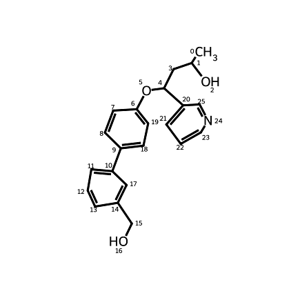 CC(O)CC(Oc1ccc(-c2cccc(CO)c2)cc1)c1cccnc1